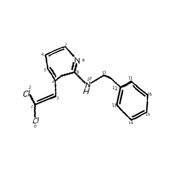 ClC(Cl)=Cc1cccnc1NCc1ccccc1